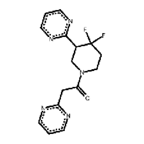 O=C(Cc1ncccn1)N1CCC(F)(F)C(c2ncccn2)C1